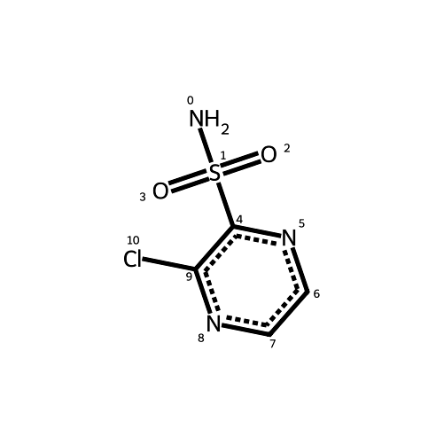 NS(=O)(=O)c1nccnc1Cl